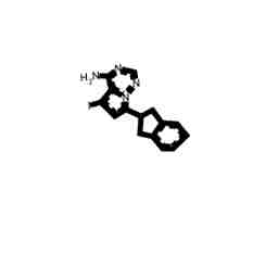 Nc1ncnn2c(C3Cc4ccccc4C3)cc(I)c12